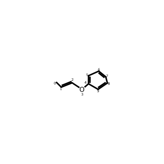 CC=COc1ccccc1